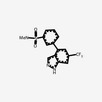 CNS(=O)(=O)c1cccc(-c2cc(C(F)(F)F)cc3[nH]ncc23)c1